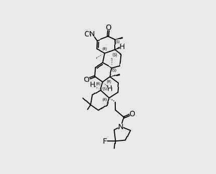 [C-]#[N+]C1=C[C@]2(C)C3=CC(=O)[C@@H]4[C@@H]5CC(C)(C)CC[C@]5(CCC(=O)N5CCC(C)(F)C5)CC[C@@]4(C)[C@]3(C)CC[C@H]2[C@H](C)C1=O